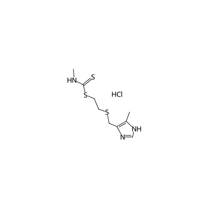 CNC(=S)SCCSCc1nc[nH]c1C.Cl